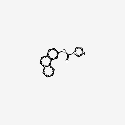 O=C(Oc1ccc2ccc3ccccc3c2c1)n1ccnc1